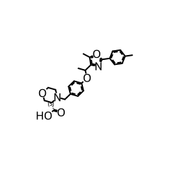 Cc1ccc(-c2nc(C(C)Oc3ccc(CN4CCOC[C@H]4C(=O)O)cc3)c(C)o2)cc1